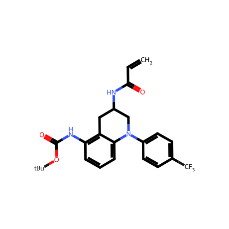 C=CC(=O)NC1Cc2c(NC(=O)OC(C)(C)C)cccc2N(c2ccc(C(F)(F)F)cc2)C1